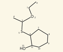 CCOC(C)SC1CCCCC1O